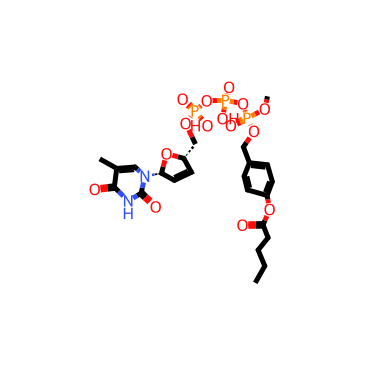 CCCCC(=O)Oc1ccc(COP(=O)(OC)OP(=O)(O)OP(=O)(O)OC[C@@H]2C=C[C@H](n3cc(C)c(=O)[nH]c3=O)O2)cc1